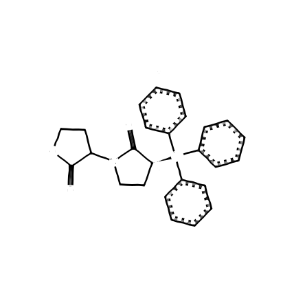 O=C1OCCC1N1CC[C@H]([P+](c2ccccc2)(c2ccccc2)c2ccccc2)C1=O.[Br-]